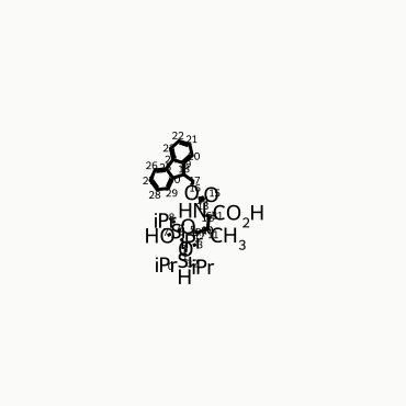 CC(C)[SiH](OC[C@H](O[Si](O)(C(C)C)C(C)C)[C@H](C)[C@H](NC(=O)OCC1c2ccccc2-c2ccccc21)C(=O)O)C(C)C